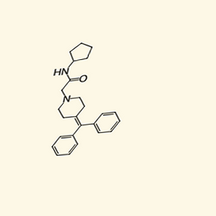 O=C(CN1CCC(=C(c2ccccc2)c2ccccc2)CC1)NC1CCCC1